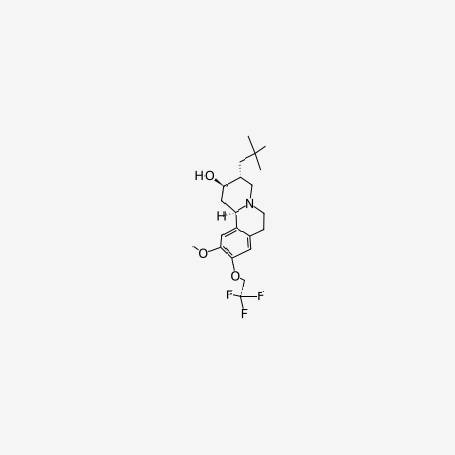 COc1cc2c(cc1OCC(F)(F)F)CCN1C[C@@H](CC(C)(C)C)[C@H](O)C[C@H]21